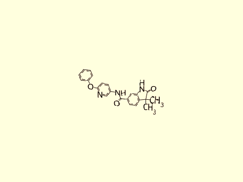 CC1(C)C(=O)Nc2cc(C(=O)Nc3ccc(Oc4ccccc4)nc3)ccc21